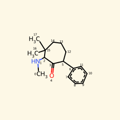 CNC1C(=O)C(c2ccccc2)CCCC1(C)C